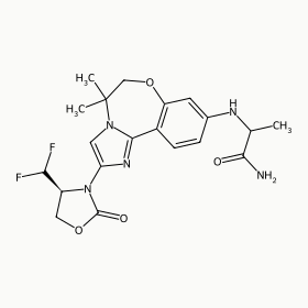 CC(Nc1ccc2c(c1)OCC(C)(C)n1cc(N3C(=O)OC[C@H]3C(F)F)nc1-2)C(N)=O